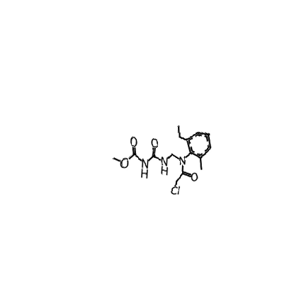 CCc1cccc(C)c1N(CNC(=O)NC(=O)OC)C(=O)CCl